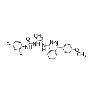 COc1ccc(-c2nnc(NC[C@H](C)NC(=O)Nc3ccc(F)cc3F)c3ccccc23)cc1